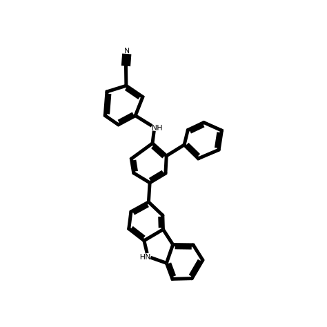 N#Cc1cccc(Nc2ccc(-c3ccc4[nH]c5ccccc5c4c3)cc2-c2ccccc2)c1